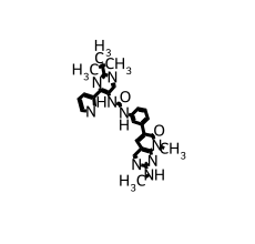 CNc1ncc2cc(-c3cccc(NC(=O)Nc4cnc(C(C)(C)C)nc4-c4cccnc4)c3)c(=O)n(C)c2n1